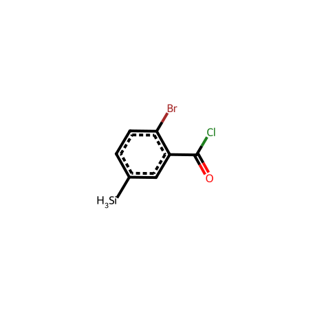 O=C(Cl)c1cc([SiH3])ccc1Br